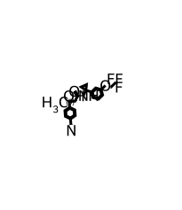 C[C@](O)(CC(=O)NC1(c2cccc(OCC(F)(F)F)c2)CC1)c1ccc(C#N)cc1